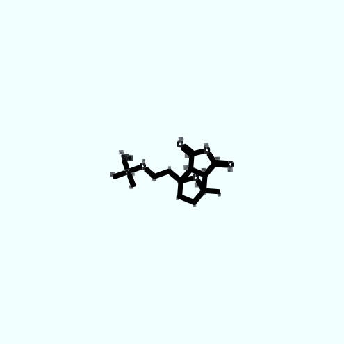 CC12CCC(CCO[Si](C)(C)C(C)(C)C)(O1)C1C(=O)OC(=O)C12